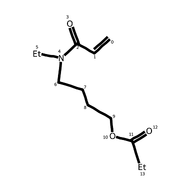 C=CC(=O)N(CC)CCCCOC(=O)CC